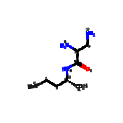 CSCC[C@H](NC(=O)C(N)CN)C(=O)O